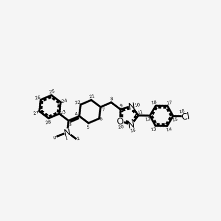 CN(C)C(=C1CCC(Cc2nc(-c3ccc(Cl)cc3)no2)CC1)c1ccccc1